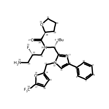 CC(C)(C)[C@H](c1nc(-c2ccccc2)cn1Cc1ccc(C(F)(F)F)o1)N(C[C@@H](F)CN)C(=O)[C@@H]1CCCO1